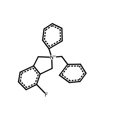 Fc1cccc2c1C[N+](Cc1ccccc1)(c1ccccc1)C2